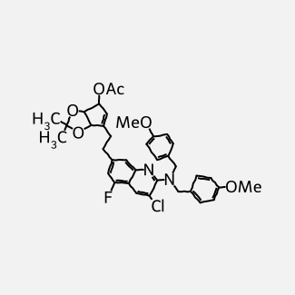 COc1ccc(CN(Cc2ccc(OC)cc2)c2nc3cc(CCC4=CC(OC(C)=O)C5OC(C)(C)OC45)cc(F)c3cc2Cl)cc1